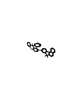 CC1(C)c2cc(-c3ccc4c(c3)C(C)(c3ccccc3)c3ccccc3O4)ccc2-c2c1ccc1ccccc21